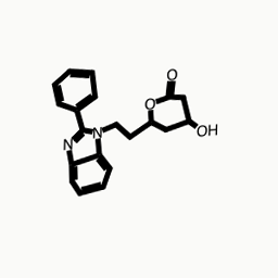 O=C1CC(O)CC(CCn2c(-c3ccccc3)nc3ccccc32)O1